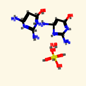 Nc1cc(O)nc(N)n1.Nc1cc(O)nc(N)n1.O.O=S(=O)(O)O